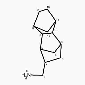 NCC1CC2CC1C1C3CCC(C3)C21